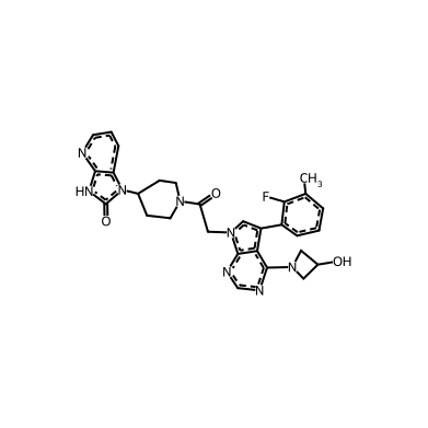 Cc1cccc(-c2cn(CC(=O)N3CCC(n4c(=O)[nH]c5ncccc54)CC3)c3ncnc(N4CC(O)C4)c23)c1F